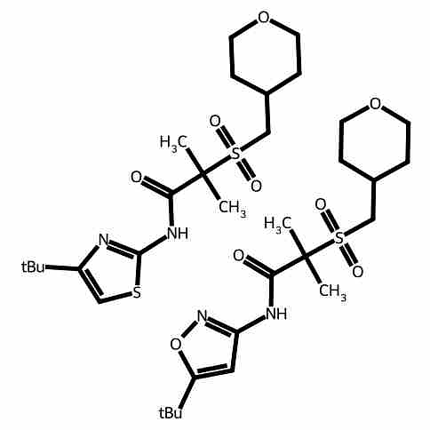 CC(C)(C)c1cc(NC(=O)C(C)(C)S(=O)(=O)CC2CCOCC2)no1.CC(C)(C)c1csc(NC(=O)C(C)(C)S(=O)(=O)CC2CCOCC2)n1